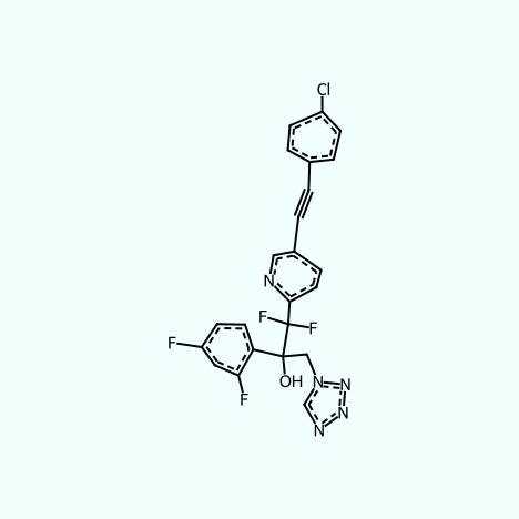 OC(Cn1cnnn1)(c1ccc(F)cc1F)C(F)(F)c1ccc(C#Cc2ccc(Cl)cc2)cn1